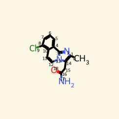 Cc1nc2c3cccc(Cl)c3ccn2c1CC(N)=O